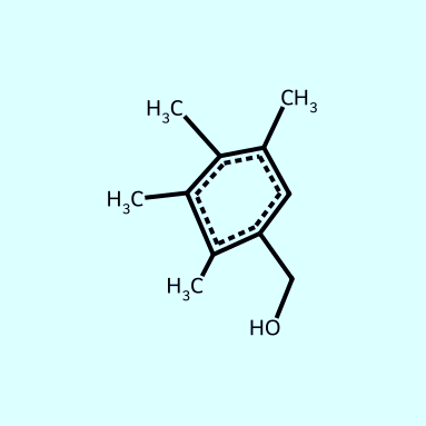 Cc1cc(CO)c(C)c(C)c1C